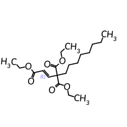 CCCCCCCCC(/C=C/C(=O)OCC)(C(=O)OCC)C(=O)OCC